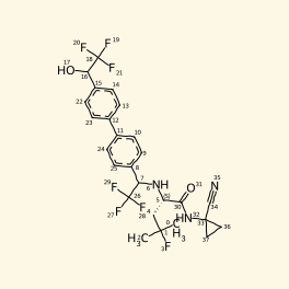 CC(C)(F)C[C@H](NC(c1ccc(-c2ccc(C(O)C(F)(F)F)cc2)cc1)C(F)(F)F)C(=O)NC1(C#N)CC1